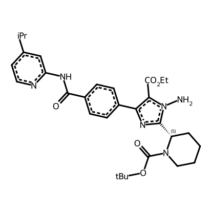 CCOC(=O)c1c(-c2ccc(C(=O)Nc3cc(C(C)C)ccn3)cc2)nc([C@@H]2CCCCN2C(=O)OC(C)(C)C)n1N